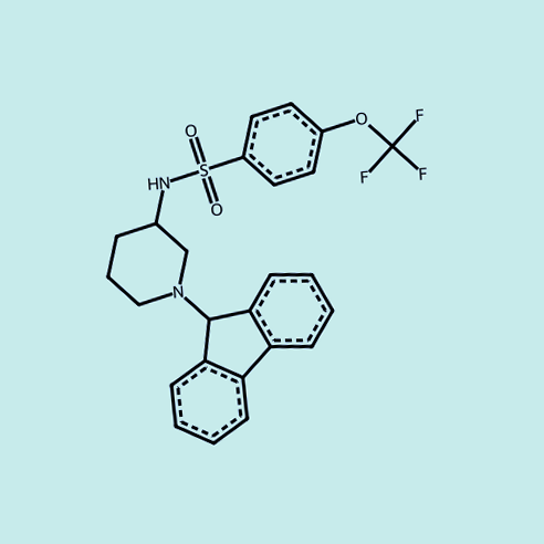 O=S(=O)(NC1CCCN(C2c3ccccc3-c3ccccc32)C1)c1ccc(OC(F)(F)F)cc1